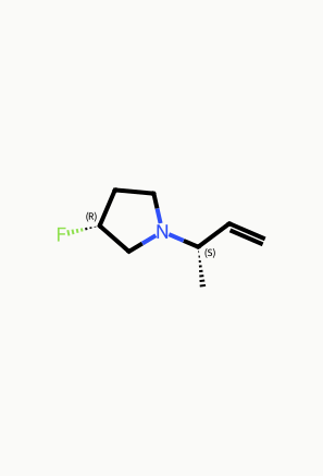 C=C[C@H](C)N1CC[C@@H](F)C1